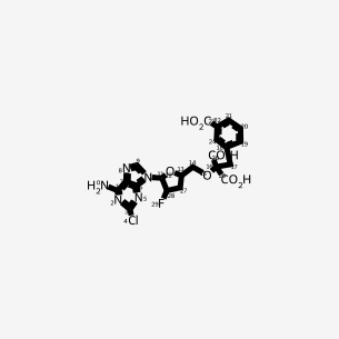 Nc1nc(Cl)nc2c1ncn2C1OC(COC(Cc2cccc(C(=O)O)c2)(C(=O)O)C(=O)O)CC1F